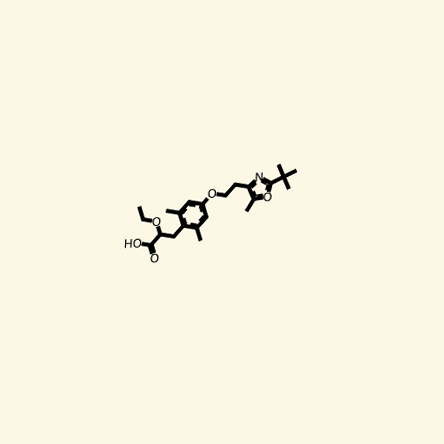 CCOC(Cc1c(C)cc(OCCc2nc(C(C)(C)C)oc2C)cc1C)C(=O)O